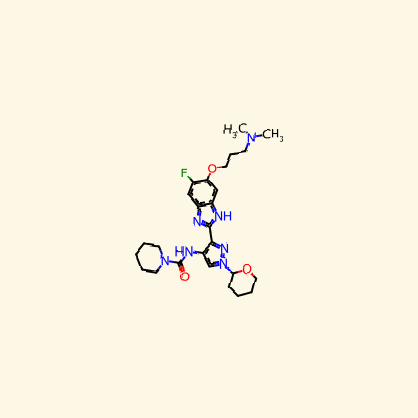 CN(C)CCCOc1cc2[nH]c(-c3nn(C4CCCCO4)cc3NC(=O)N3CCCCC3)nc2cc1F